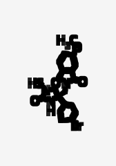 COc1ccc2c(c1)C(=O)N(C[C@@]1(c3ccc(Br)cc3)NC(=O)N(S)C1=O)C2